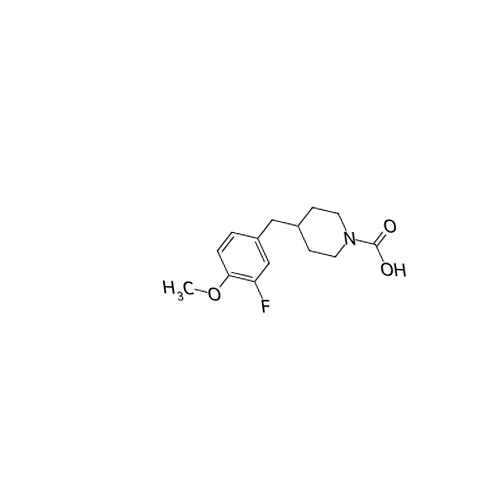 COc1ccc(CC2CCN(C(=O)O)CC2)cc1F